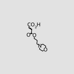 O=C(O)C=CC(=O)OCCCN1CCOCC1